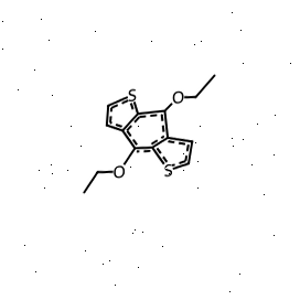 CCOc1c2ccsc2c(OCC)c2ccsc12